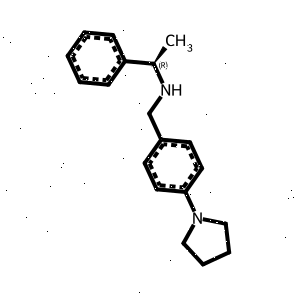 C[C@@H](NCc1ccc(N2CCCC2)cc1)c1ccccc1